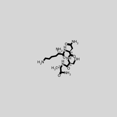 C[C@H](NC(=O)[C@H](CO)NC(=O)[C@H](CC(N)=O)NC(=O)[C@@H](N)CCCCN)C(N)=O